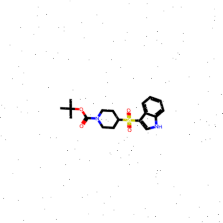 CC(C)(C)OC(=O)N1CCC(S(=O)(=O)c2c[nH]c3ccccc23)CC1